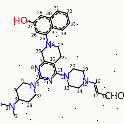 CN(C)C1CCN(c2nc3c(c(N4CCN(C=CC=O)CC4)n2)CCN(c2cc(O)cc4ccccc24)C3)CC1